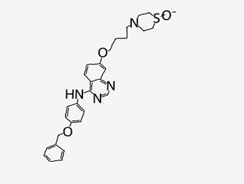 [O-][S+]1CCN(CCCCOc2ccc3c(Nc4ccc(OCc5ccccc5)cc4)ncnc3c2)CC1